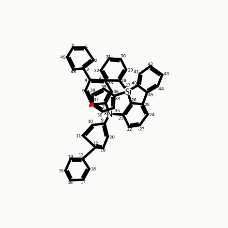 c1ccc(-c2ccc(N(c3ccc(-c4ccccc4)cc3)c3cccc4c3[Si](c3ccccc3)(c3ccccc3)c3ccccc3-4)cc2)cc1